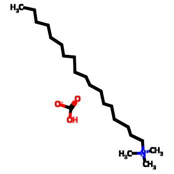 CCCCCCCCCCCCCCCCCC[N+](C)(C)C.O=C([O-])O